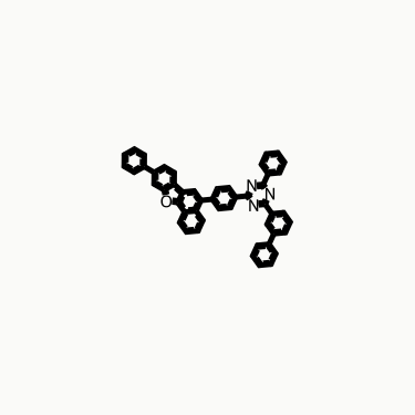 c1ccc(-c2cccc(-c3nc(-c4ccccc4)nc(-c4ccc(-c5cc6c7ccc(-c8ccccc8)cc7oc6c6ccccc56)cc4)n3)c2)cc1